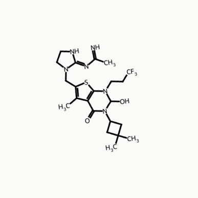 CC(=N)/N=C1\NCCN1Cc1sc2c(c1C)C(=O)N(C1CC(C)(C)C1)C(O)N2CCC(F)(F)F